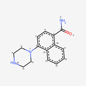 NC(=O)c1ccc(N2CCNCC2)c2ccccc12